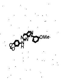 COc1cccc(-n2ncc3cnc(Nc4ccc5c(c4)OCO5)nc32)c1